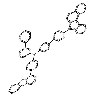 c1ccc(-c2cccc(N(c3ccc(-c4ccc(-n5c6ccccc6c6c7ccccc7ccc65)cc4)cc3)c3ccc(-c4cccc5c4oc4ccccc45)cc3)c2)cc1